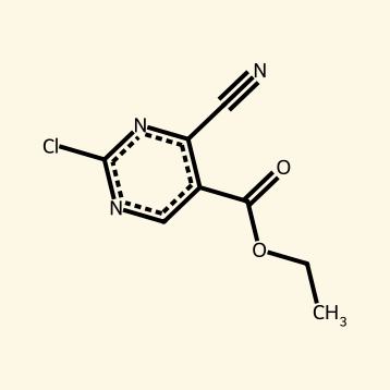 CCOC(=O)c1cnc(Cl)nc1C#N